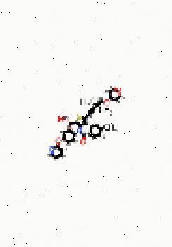 CC(C)(C#Cc1cc(N(C(=O)[C@H]2CC[C@H](C)CC2)[C@H]2CC[C@H](Oc3ccccn3)CC2)c(C(=O)O)s1)COC1CCOCC1